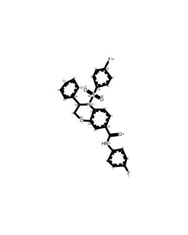 O=C(Nc1ccc(F)cc1)c1ccc2c(c1)OCC(c1ccccc1)N2S(=O)(=O)c1ccc(F)cc1